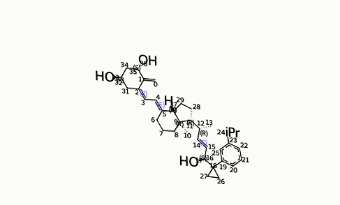 C=C1/C(=C\C=C2/CCC[C@]3(C)[C@@H]([C@H](C)/C=C/[C@H](O)C4(c5cccc(C(C)C)c5)CC4)CC[C@@H]23)C[C@@H](O)C[C@@H]1O